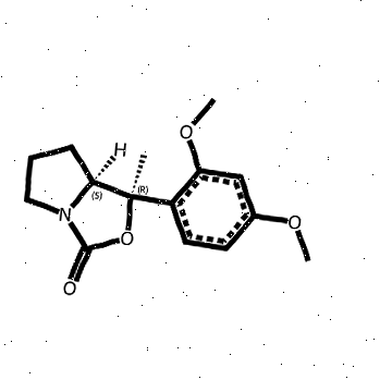 COc1ccc([C@@]2(C)OC(=O)N3CCC[C@H]32)c(OC)c1